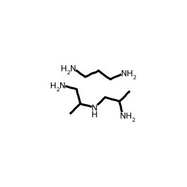 CC(N)CNC(C)CN.NCCCN